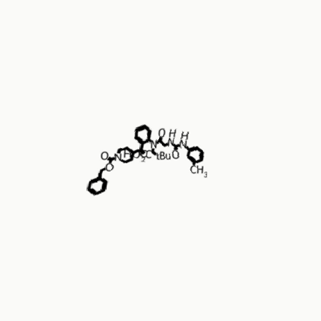 Cc1cccc(NC(=O)NCC(=O)N(c2ccccc2C(=O)C2CCN(C(=O)OCc3ccccc3)CC2)C(C(=O)O)C(C)(C)C)c1